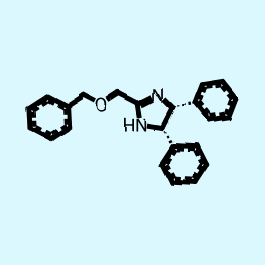 c1ccc(COCC2=N[C@H](c3ccccc3)[C@H](c3ccccc3)N2)cc1